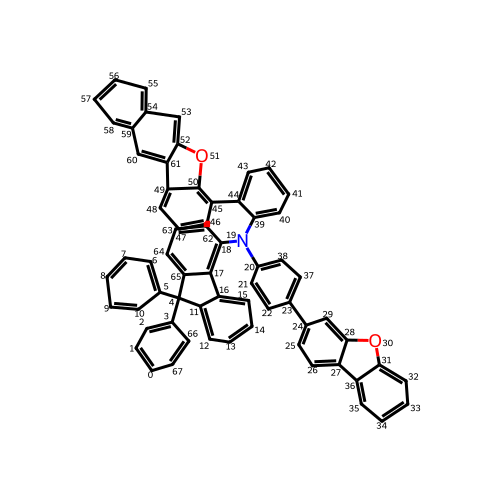 c1ccc(C2(c3ccccc3)c3ccccc3-c3c(N(c4ccc(-c5ccc6c(c5)oc5ccccc56)cc4)c4ccccc4-c4cccc5c4oc4cc6ccccc6cc45)cccc32)cc1